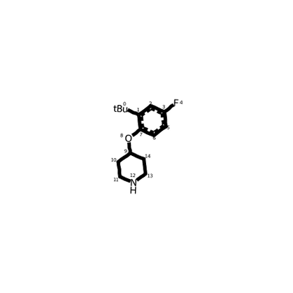 CC(C)(C)c1cc(F)ccc1OC1CCNCC1